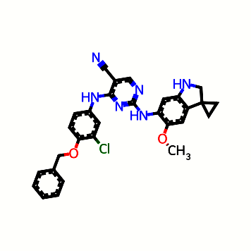 COc1cc2c(cc1Nc1ncc(C#N)c(Nc3ccc(OCc4ccccc4)c(Cl)c3)n1)NCC21CC1